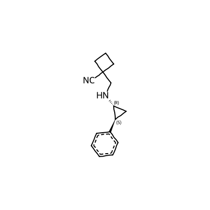 N#CC1(CN[C@@H]2C[C@H]2c2ccccc2)CCC1